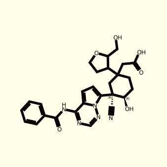 N#C[C@]1(c2ccc3c(NC(=O)c4ccccc4)ncnn23)CC(CC(=O)O)(C2CCOC2CO)CC[C@H]1O